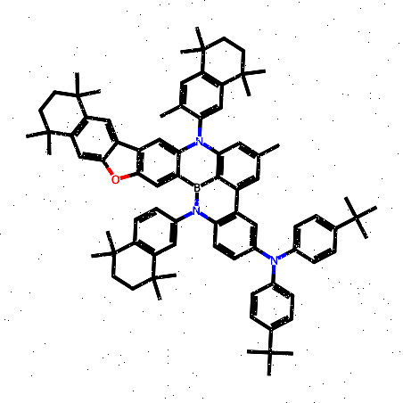 Cc1cc2c3c(c1)N(c1cc4c(cc1C)C(C)(C)CCC4(C)C)c1cc4c(cc1B3N(c1ccc3c(c1)C(C)(C)CCC3(C)C)c1ccc(N(c3ccc(C(C)(C)C)cc3)c3ccc(C(C)(C)C)cc3)cc1-2)oc1cc2c(cc14)C(C)(C)CCC2(C)C